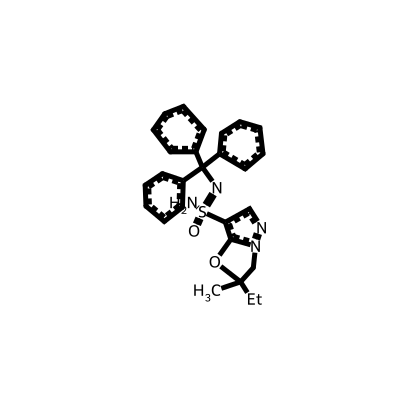 CCC1(C)Cn2ncc(S(N)(=O)=NC(c3ccccc3)(c3ccccc3)c3ccccc3)c2O1